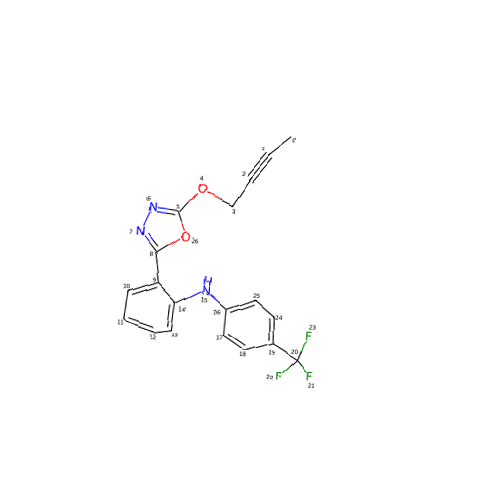 CC#CCOc1nnc(-c2ccccc2Nc2ccc(C(F)(F)F)cc2)o1